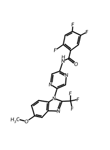 COc1ccc2c(c1)nc(C(F)(F)F)n2-c1cnc(NC(=O)c2cc(F)c(F)cc2F)cn1